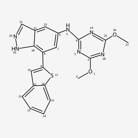 COc1nc(Nc2cc(-c3cc4ccccc4s3)c3[nH]ncc3c2)nc(OC)n1